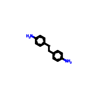 Nc1ccc([C]Cc2ccc(N)cc2)cc1